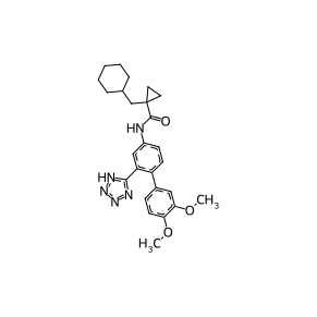 COc1ccc(-c2ccc(NC(=O)C3(CC4CCCCC4)CC3)cc2-c2nnn[nH]2)cc1OC